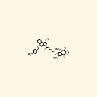 COc1cc2c(cc1OCCCCCC(=O)N1C[C@@H](CCl)c3c1cc(OCc1ccc([N+](=O)[O-])cc1)c1ccccc31)N(C(=O)O)C(O)C1CCCN1C2=O